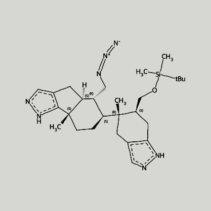 CC(C)(C)[Si](C)(C)OC[C@H]1Cc2[nH]ncc2C[C@]1(C)[C@H]1CC[C@]2(C)c3[nH]ncc3C[C@H]2[C@@H]1CN=[N+]=[N-]